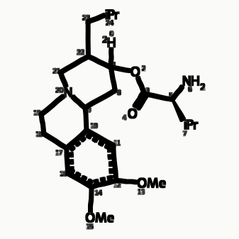 [2H]C1(OC(=O)[C@@H](N)C(C)C)CC2c3cc(OC)c(OC)cc3CCN2CC1CC(C)C